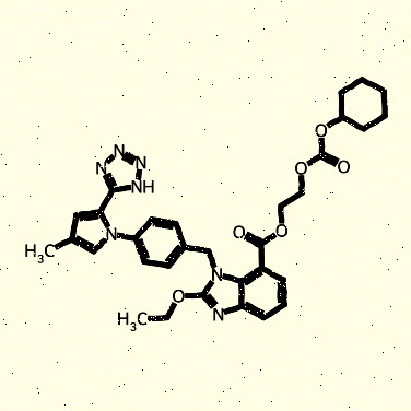 CCOc1nc2cccc(C(=O)OCCOC(=O)OC3CCCCC3)c2n1Cc1ccc(-n2cc(C)cc2-c2nnn[nH]2)cc1